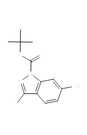 CC(C)(C)OC(=O)n1nc(Cl)c2ccc(O)cc21